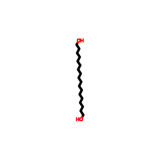 OCCCCCCCCCCCCCCCCCCO